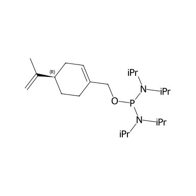 C=C(C)[C@H]1CC=C(COP(N(C(C)C)C(C)C)N(C(C)C)C(C)C)CC1